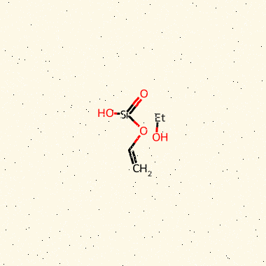 C=CO[Si](=O)O.CCO